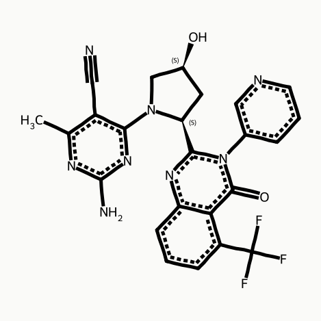 Cc1nc(N)nc(N2C[C@@H](O)C[C@H]2c2nc3cccc(C(F)(F)F)c3c(=O)n2-c2cccnc2)c1C#N